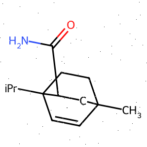 CC(C)C12C=CC(C)(CC1)CC2C(N)=O